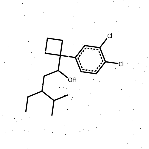 CCC(CC(O)C1(c2ccc(Cl)c(Cl)c2)CCC1)C(C)C